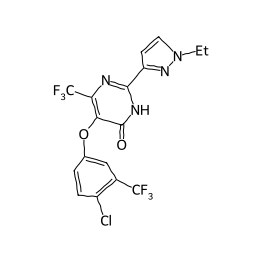 CCn1ccc(-c2nc(C(F)(F)F)c(Oc3ccc(Cl)c(C(F)(F)F)c3)c(=O)[nH]2)n1